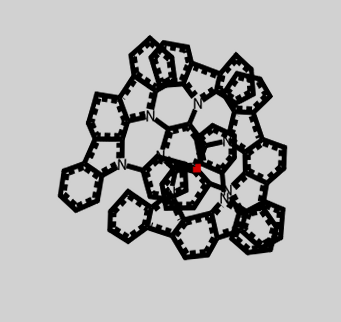 c1ccc(-n2c3ccccc3c3ccc4c5ccccc5n(-c5cc(-n6c7ccccc7c7ccc8c9ccccc9n(-c9ccccc9)c8c76)c(-n6c7ccccc7c7ccccc76)c(-n6c7ccccc7c7ccc8c9ccccc9n(-c9ccccc9)c8c76)n5)c4c32)cc1